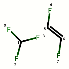 FC(F)F.FC=CF